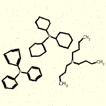 C1CCC(P(C2CCCCC2)C2CCCCC2)CC1.CCCCP(CCCC)CCCC.c1ccc(P(c2ccccc2)c2ccccc2)cc1